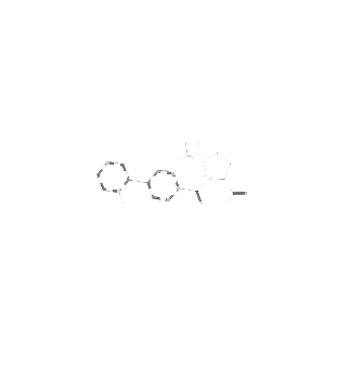 COc1ccccc1-c1ccc(C(=O)N2[C@@H](C(C)C)CC[C@H]2C(=O)O)cc1